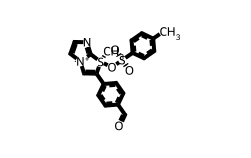 Cc1ccc(S(=O)(=O)OS2(C)C(c3ccc(C=O)cc3)=C[N+]3C=CN=C32)cc1